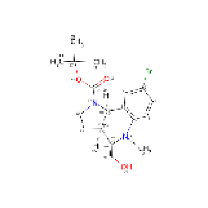 CN1c2ccc(Br)cc2[C@H]2[C@H](CCN2C(=O)OC(C)(C)C)[C@@H]1CO